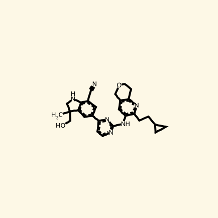 CC1(CO)CNc2c(C#N)cc(-c3ccnc(Nc4cc5c(nc4CCC4CC4)CCOC5)n3)cc21